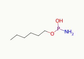 CCCCCCOP(N)O